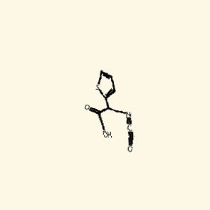 O=C=NC(C(=O)O)c1cccs1